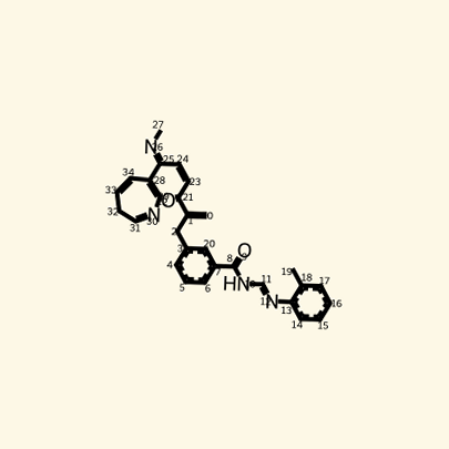 C=C(Cc1cccc(C(=O)N/C=N/c2ccccc2C)c1)C(=O)/C=C\C(=N/C)C1=CN=CCC=C1